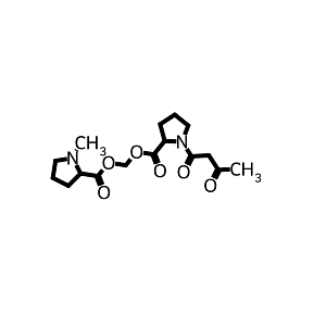 CC(=O)CC(=O)N1CCCC1C(=O)OCOC(=O)C1CCCN1C